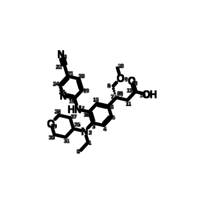 CCN(c1ccc([C@H](COC)CC(=O)O)cc1Nc1ccc(C#N)cn1)C1CCOCC1